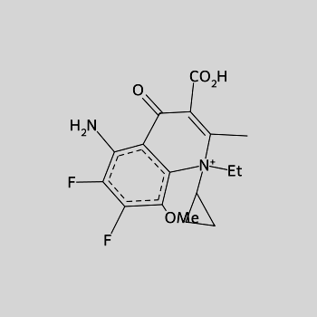 CC[N+]1(C2CC2)C(C)=C(C(=O)O)C(=O)c2c(N)c(F)c(F)c(OC)c21